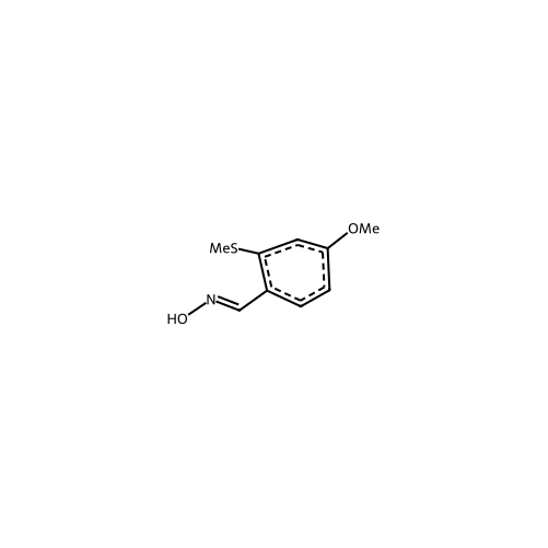 COc1ccc(C=NO)c(SC)c1